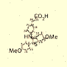 COc1ccc(-c2sc3cc(OC)ccc3c2Nc2ccc(C=CC(=O)O)cc2)cc1